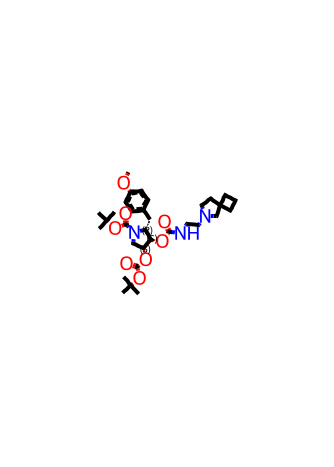 COc1ccc(C[C@@H]2[C@H](OC(=O)NCCN3CCC4(CCC4)C3)[C@@H](OC(=O)OC(C)(C)C)CN2C(=O)OC(C)(C)C)cc1